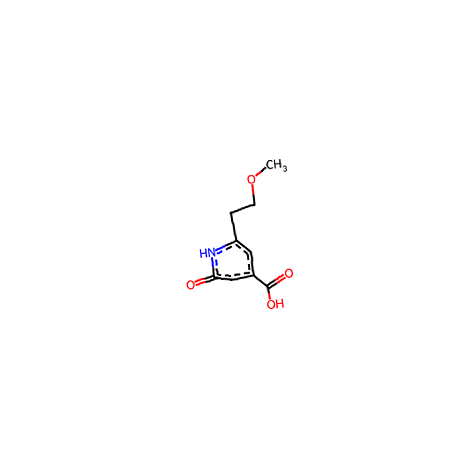 COCCc1cc(C(=O)O)cc(=O)[nH]1